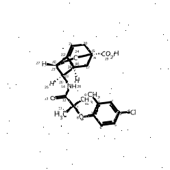 Cc1cc(Cl)ccc1OC(C)(C)C(=O)N[C@@H]1[C@@H]2C[C@]3(C(=O)O)CC=C2[C@@H]1C3